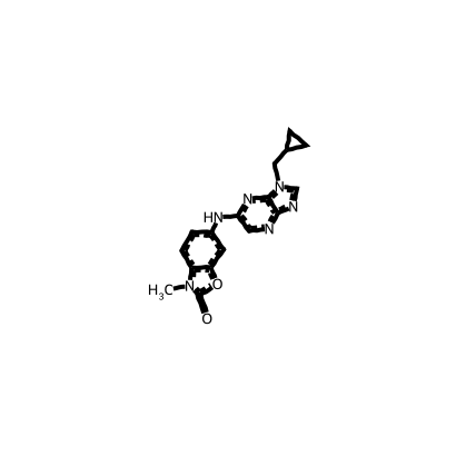 Cn1c(=O)oc2cc(Nc3cnc4ncn(CC5CC5)c4n3)ccc21